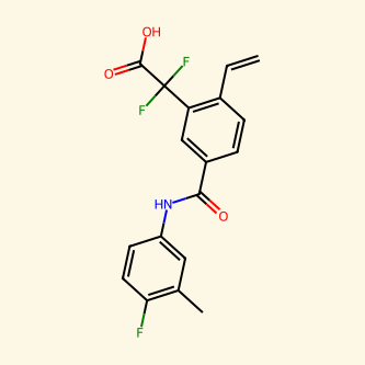 C=Cc1ccc(C(=O)Nc2ccc(F)c(C)c2)cc1C(F)(F)C(=O)O